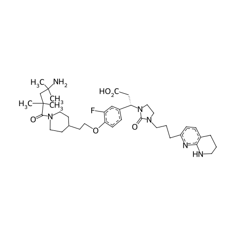 CC(C)(N)CC(C)(C)C(=O)N1CCC(CCOc2ccc([C@H](CC(=O)O)N3CCN(CCCc4ccc5c(n4)NCCC5)C3=O)cc2F)CC1